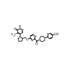 N#Cc1ccc(N2CCN(C(=O)c3nccc(OCC4CCCN4c4cn[nH]c(=O)c4C(F)(F)F)n3)CC2)nc1